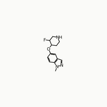 Cn1ncc2cc(OC3CCNCC3F)ccc21